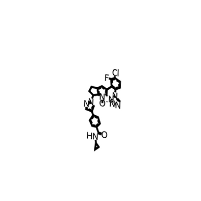 O=C(NC1CC1)c1ccc(-c2cnn(C3CCc4cc(-c5c(-n6cnnn6)ccc(Cl)c5F)c[n+]([O-])c43)c2)cc1